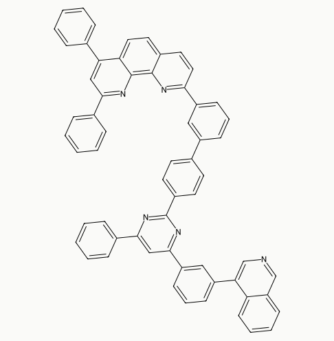 c1ccc(-c2cc(-c3cccc(-c4cncc5ccccc45)c3)nc(-c3ccc(-c4cccc(-c5ccc6ccc7c(-c8ccccc8)cc(-c8ccccc8)nc7c6n5)c4)cc3)n2)cc1